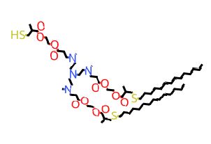 CCCCCCCCCCCCCCSCC(C)C(=O)OCCOC(=O)CCN(C)CCN(CCN(C)CCC(=O)OCCOC(=O)C(C)CS)CCN(C)CCC(=O)OCCOC(=O)C(C)CSCCCCCCCCCCCCCC